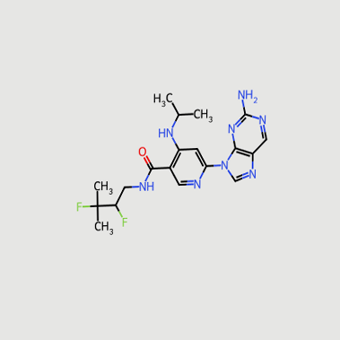 CC(C)Nc1cc(-n2cnc3cnc(N)nc32)ncc1C(=O)NCC(F)C(C)(C)F